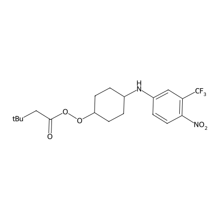 CC(C)(C)CC(=O)OOC1CCC(Nc2ccc([N+](=O)[O-])c(C(F)(F)F)c2)CC1